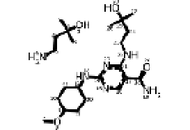 CC(C)(O)CCN.COC1CCC(Nc2ncc(C(N)=O)c(NCCC(C)(C)O)n2)CC1